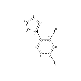 Brc1ccc(-n2c[c]cc2)c(Br)c1